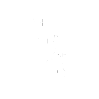 Cc1ccc(C[C@H](NC(=O)C2CC[C@H]3[C@@H]4CCC5NC(=O)CC[C@]5(C)[C@@H]4CC[C@]23C)c2ccccc2)cc1